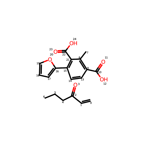 C=CC(=O)CCC.Cc1c(C(=O)O)ccc(-c2ccco2)c1C(=O)O